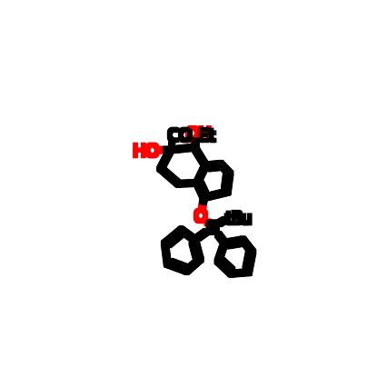 CCOC(=O)[C@]1(O)CCc2c(O[Si](c3ccccc3)(c3ccccc3)C(C)(C)C)cccc2[C@H]1O